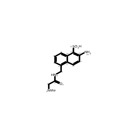 CNCC(=O)NCc1cccc2c(S(=O)(=O)O)c(N)ccc12